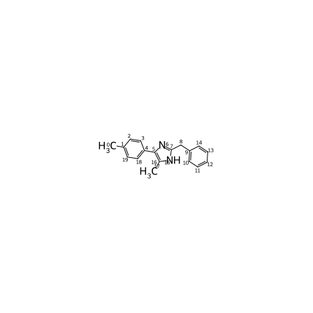 Cc1ccc(-c2nc(Cc3ccccc3)[nH]c2C)cc1